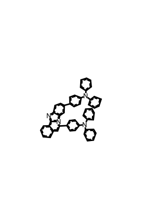 c1ccc(N(c2ccccc2)c2ccc(-c3ccc4nc5c6ccccc6cc(-c6ccc(N(c7ccccc7)c7ccccc7)cc6)n5c4c3)cc2)cc1